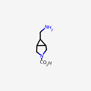 NCC1C2CN(C(=O)O)CC12